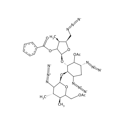 CC(=O)OCC1O[C@H](O[C@@H]2C(N=[N+]=[N-])C[C@@H](N=[N+]=[N-])C(OC(C)=O)[C@H]2O[C@@H]2O[C@H](CN=[N+]=[N-])[C@H](C)C2OC(=O)c2ccccc2)C(N=[N+]=[N-])[C@@H](C)[C@@H]1C